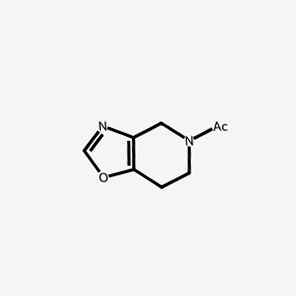 CC(=O)N1CCc2ocnc2C1